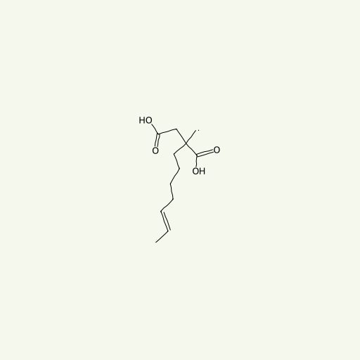 [CH2]C(CCCCC=CC)(CC(=O)O)C(=O)O